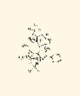 CC[Si](CC)(CC)O[C@H]1C[C@@]2(O)[C@@H](OC(=O)c3ccccc3)[C@@H]3[C@]4(OC(C)=O)CO[C@@H]4C[C@H](O[Si](CC)(CC)CC)[C@@]3(C)C(=O)[C@H](C)C(=C1C)C2(C)C